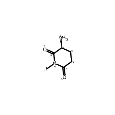 B[C@H]1CCC(=O)N(I)C1=O